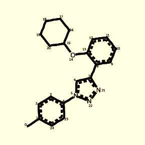 Cc1ccc(-n2cc(-c3ccccc3OC3CCCCC3)nn2)cc1